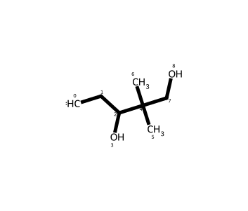 [CH]CC(O)C(C)(C)CO